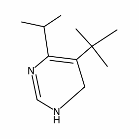 CC(C)C1=C(C(C)(C)C)CNC=N1